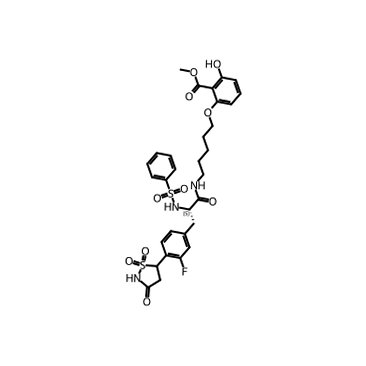 COC(=O)c1c(O)cccc1OCCCCCNC(=O)[C@H](Cc1ccc(C2CC(=O)NS2(=O)=O)c(F)c1)NS(=O)(=O)c1ccccc1